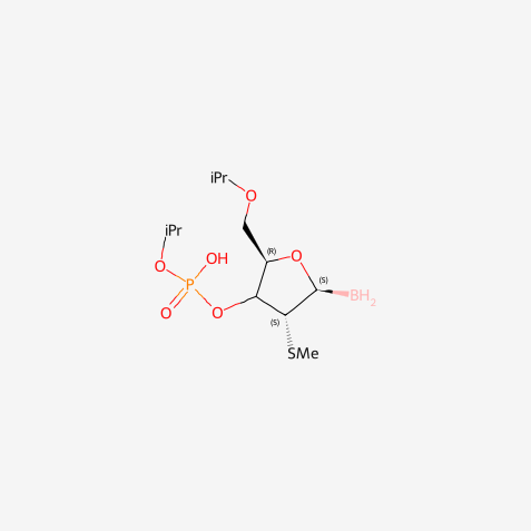 B[C@@H]1O[C@H](COC(C)C)C(OP(=O)(O)OC(C)C)[C@H]1SC